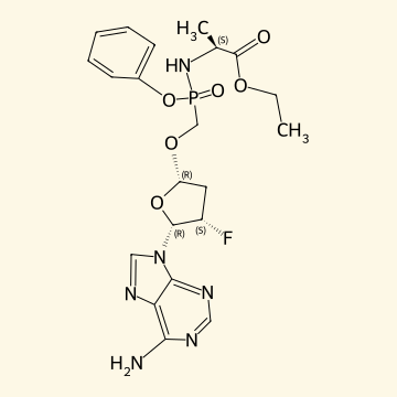 CCOC(=O)[C@H](C)NP(=O)(CO[C@@H]1C[C@H](F)[C@H](n2cnc3c(N)ncnc32)O1)Oc1ccccc1